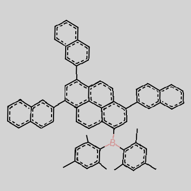 Cc1cc(C)c(B(c2c(C)cc(C)cc2C)c2cc(-c3ccc4ccccc4c3)c3ccc4c(-c5ccc6ccccc6c5)cc(-c5ccc6ccccc6c5)c5ccc2c3c54)c(C)c1